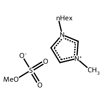 CCCCCCn1cc[n+](C)c1.COS(=O)(=O)[O-]